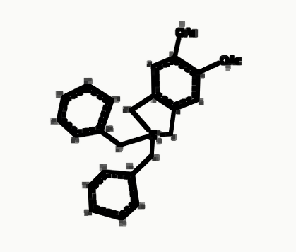 CC(=O)Oc1cc2c(cc1OC(C)=O)C[N+](Cc1ccccc1)(Cc1ccccc1)C2